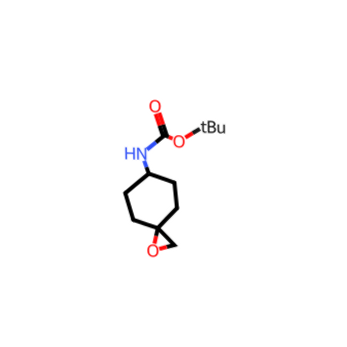 CC(C)(C)OC(=O)NC1CCC2(CC1)CO2